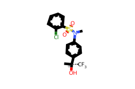 CN(c1ccc([C@](C)(O)C(F)(F)F)cc1)S(=O)(=O)c1ccccc1Cl